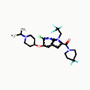 CC(C)N1CCC(Oc2cc3cc(C(=O)N4CCC(F)(F)CC4)n(CC(F)(F)F)c3nc2Cl)CC1